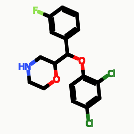 Fc1cccc(C(Oc2ccc(Cl)cc2Cl)C2CNCCO2)c1